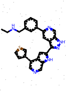 CCNCc1cccc(-c2cc3c(-c4cc5c(-c6ccsc6)cncc5[nH]4)n[nH]c3cn2)c1